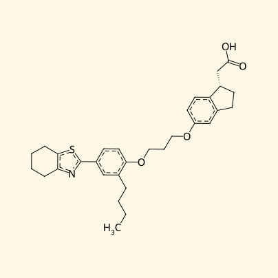 CCCCc1cc(-c2nc3c(s2)CCCC3)ccc1OCCCOc1ccc2c(c1)CC[C@H]2CC(=O)O